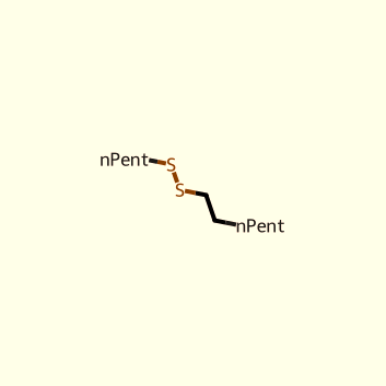 CCCCCCCSSCCCCC